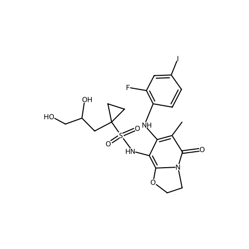 Cc1c(Nc2ccc(I)cc2F)c(NS(=O)(=O)C2(CC(O)CO)CC2)c2n(c1=O)CCO2